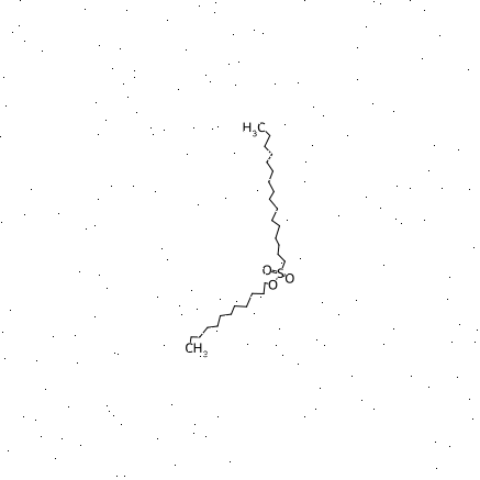 CCCCCCCCCCCCCCCCS(=O)(=O)OCCCCCCCCCCCC